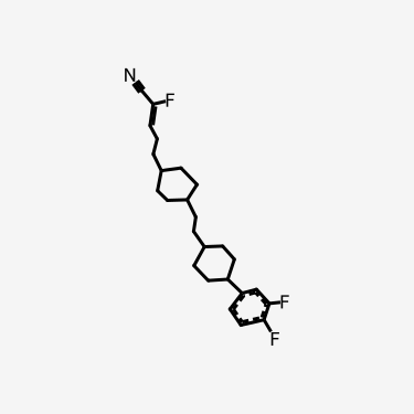 N#CC(F)=CCCC1CCC(CCC2CCC(c3ccc(F)c(F)c3)CC2)CC1